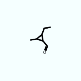 CCC1C(C)C1C=O